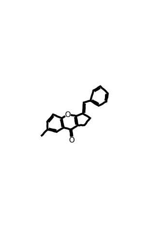 Cc1ccc2oc3c(c(=O)c2c1)CCC3=Cc1ccccc1